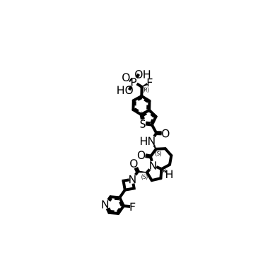 O=C(N[C@H]1CCC[C@H]2CC[C@@H](C(=O)N3CC(c4cnccc4F)C3)N2C1=O)c1cc2cc([C@H](F)P(=O)(O)O)ccc2s1